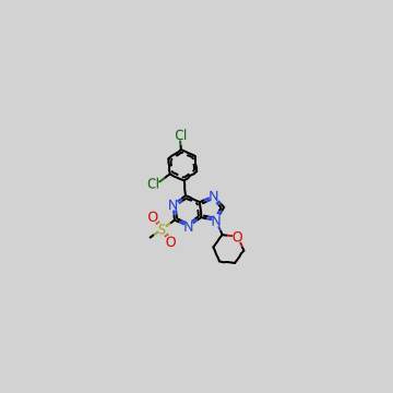 CS(=O)(=O)c1nc(-c2ccc(Cl)cc2Cl)c2ncn(C3CCCCO3)c2n1